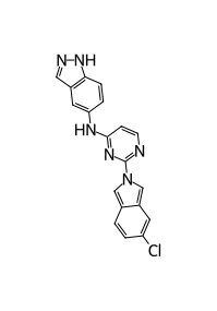 Clc1ccc2cn(-c3nccc(Nc4ccc5[nH]ncc5c4)n3)cc2c1